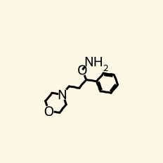 NOC(CCN1CCOCC1)c1ccccc1